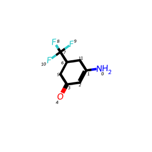 NC1=CC(=O)CC(C(F)(F)F)C1